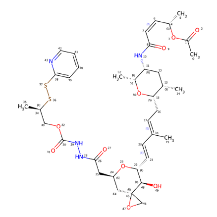 CC(=O)O[C@@H](C)/C=C\C(=O)N[C@@H]1C[C@H](C)[C@H](C/C=C(C)/C=C/[C@H]2O[C@H](CC(=O)NNC(=O)OC[C@@H](C)SSc3ccccn3)C[C@@]3(CO3)[C@@H]2O)O[C@@H]1C